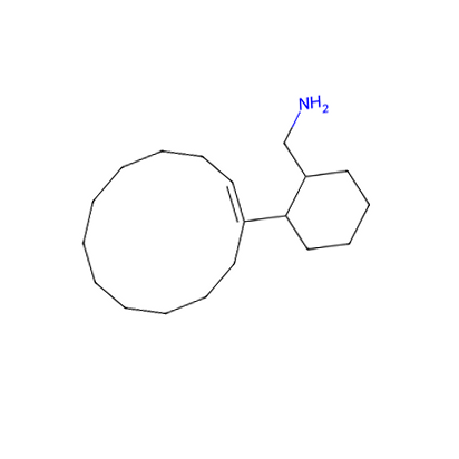 NCC1CCCCC1/C1=C/CCCCCCCCCC1